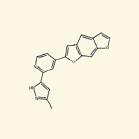 Cc1cc(-c2cc(-c3cc4cc5ccoc5cc4o3)ccn2)[nH]n1